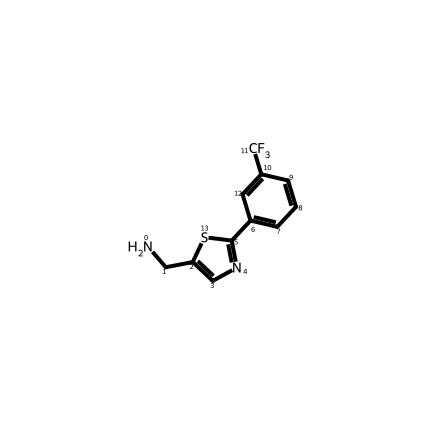 NCc1cnc(-c2cccc(C(F)(F)F)c2)s1